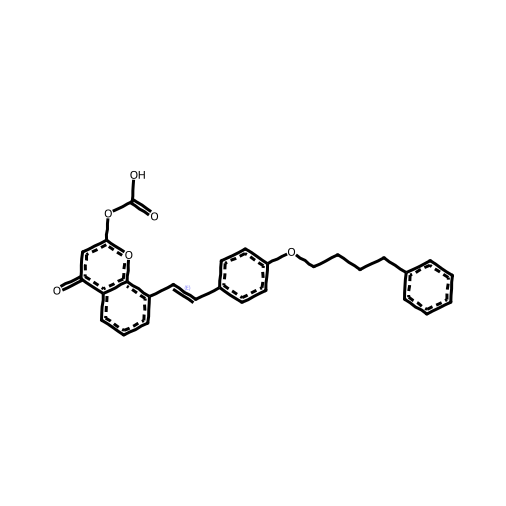 O=C(O)Oc1cc(=O)c2cccc(/C=C/c3ccc(OCCCCc4ccccc4)cc3)c2o1